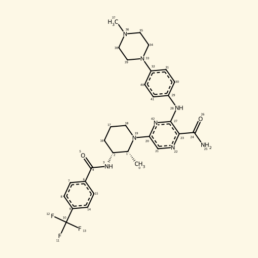 C[C@@H]1[C@H](NC(=O)c2ccc(C(F)(F)F)cc2)CCCN1c1cnc(C(N)=O)c(Nc2ccc(N3CCN(C)CC3)cc2)n1